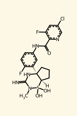 CN1C(=N)N[C@@]2(c3cc(NC(=O)c4ncc(Cl)cc4F)ccc3F)CCC[C@H]2S1(O)O